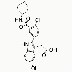 O=C(O)Cc1c(-c2ccc(Cl)c(S(=O)(=O)NC3CCCCC3)c2)[nH]c2ccc(O)cc12